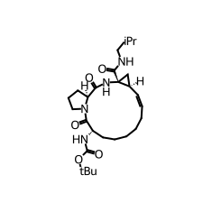 CC(C)CNC(=O)[C@@]12C[C@H]1/C=C\CCCCC[C@H](NC(=O)OC(C)(C)C)C(=O)N1CCC[C@H]1C(=O)N2